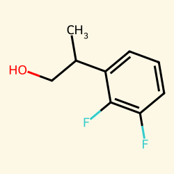 CC(CO)c1cccc(F)c1F